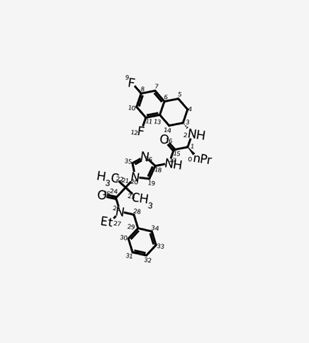 CCC[C@H](N[C@H]1CCc2cc(F)cc(F)c2C1)C(=O)Nc1cn(C(C)(C)C(=O)N(CC)Cc2ccccc2)cn1